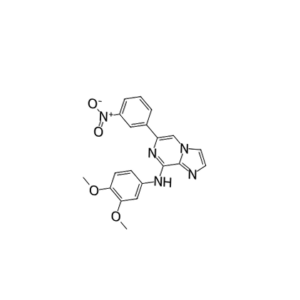 COc1ccc(Nc2nc(-c3cccc([N+](=O)[O-])c3)cn3ccnc23)cc1OC